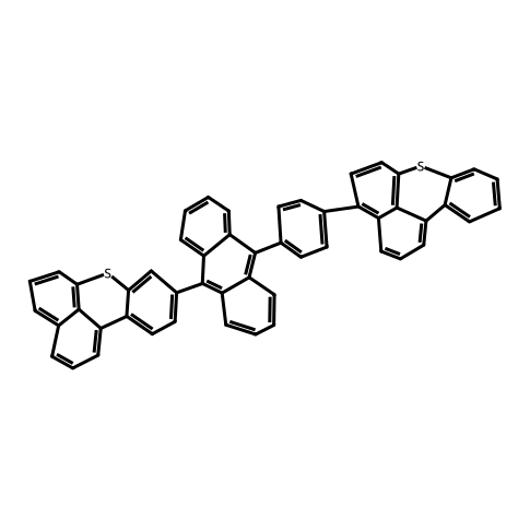 c1ccc2c(c1)Sc1ccc(-c3ccc(-c4c5ccccc5c(-c5ccc6c(c5)Sc5cccc7cccc-6c57)c5ccccc45)cc3)c3cccc-2c13